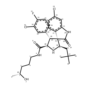 C[C@@H](O)CCCNC(=O)[C@@H]1N[C@H](CC(C)(C)C)[C@]2(C(=O)Nc3cc(Cl)ccc32)[C@H]1c1ccc(F)c(Cl)c1